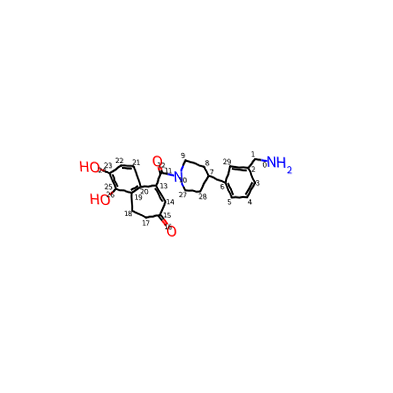 NCc1cccc(C2CCN(C(=O)C3=CC(=O)CCc4c3ccc(O)c4O)CC2)c1